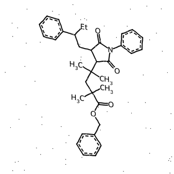 CCC(CC1C(=O)N(c2ccccc2)C(=O)C1C(C)(C)CC(C)(C)C(=O)OCc1ccccc1)c1ccccc1